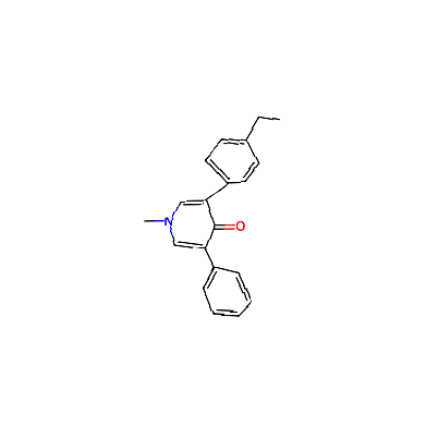 CCc1ccc(-c2cn(C)cc(-c3ccccc3)c2=O)cc1